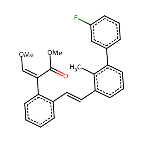 CO/C=C(\C(=O)OC)c1ccccc1/C=C/c1cccc(-c2cccc(F)c2)c1C